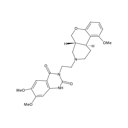 COc1cc2[nH]c(=O)n(CCN3CC[C@@H]4c5c(OC)cccc5OC[C@H]4C3)c(=O)c2cc1OC